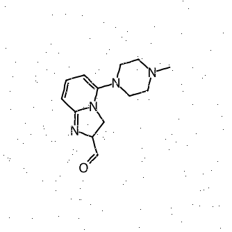 CN1CCN(C2=CC=CC3=NC(C=O)CN23)CC1